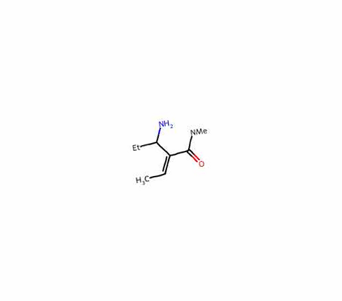 CC=C(C(=O)NC)C(N)CC